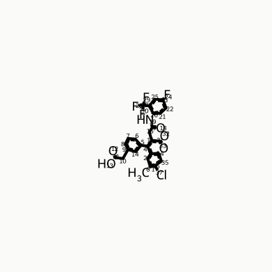 Cc1cc2c(-c3cccc(CC(=O)O)c3)c(CC(=O)Nc3ccc(F)cc3C(F)(F)F)c(=O)oc2cc1Cl